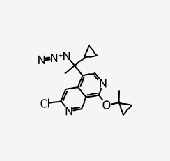 CC1(Oc2ncc(C(C)(N=[N+]=[N-])C3CC3)c3cc(Cl)ncc23)CC1